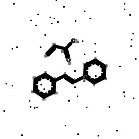 C(=C[n+]1ccccc1)c1ccccc1.C=CC(=O)[O-]